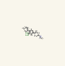 C/C=C/C1CCC(c2ccc(C3=CCC(C)CC3)c(Cl)c2F)CC1